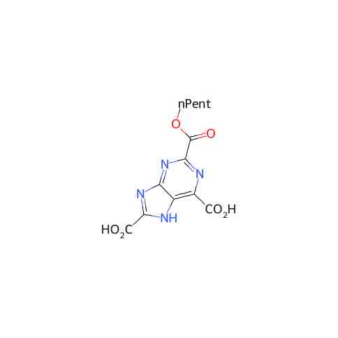 CCCCCOC(=O)c1nc(C(=O)O)c2[nH]c(C(=O)O)nc2n1